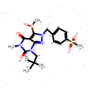 Cn1c(=O)c2c([S+](C)[O-])n(Cc3ccc(S(C)(=O)=O)cc3)nc2n(CC(C)(C)C)c1=O